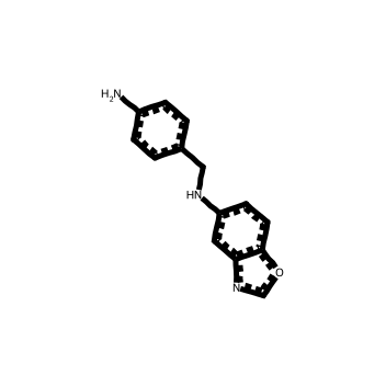 Nc1ccc(CNc2ccc3ocnc3c2)cc1